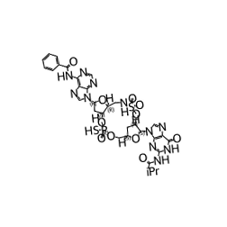 CC(C)C(=O)Nc1nc2c(ncn2[C@H]2O[C@@H]3CO[P@@](=O)(S)O[C@H]4C[C@H](n5cnc6c(NC(=O)c7ccccc7)ncnc65)O[C@@H]4CNS(=O)(=O)O[C@@H]2C3)c(=O)[nH]1